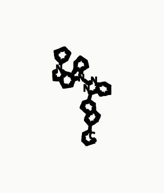 c1ccc(-c2ccc3cc(-c4nc(-n5c6ccccc6c6c7c(ccc65)ccn7-c5ccccc5)nc5ccccc45)ccc3c2)cc1